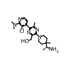 Cc1nc(N2CCC(C)([C@H](C)N)CC2)c(CO)nc1-c1ccnc(N(C)C)c1Cl